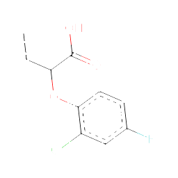 CCC(Oc1ccc(F)cc1Cl)C(=O)O